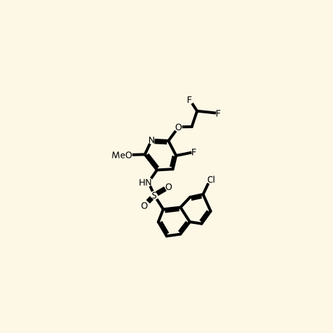 COc1nc(OCC(F)F)c(F)cc1NS(=O)(=O)c1cccc2ccc(Cl)cc12